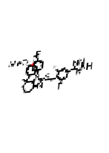 COc1cc(C2(C)CCCc3nc(SCc4c(F)cc(-c5nn[nH]n5)cc4F)n(-c4ccc(F)cc4)c32)ccc1Cl